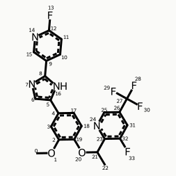 COc1cc(-c2cnc(-c3ccc(F)nc3)[nH]2)ccc1OC(C)c1ncc(C(F)(F)F)cc1F